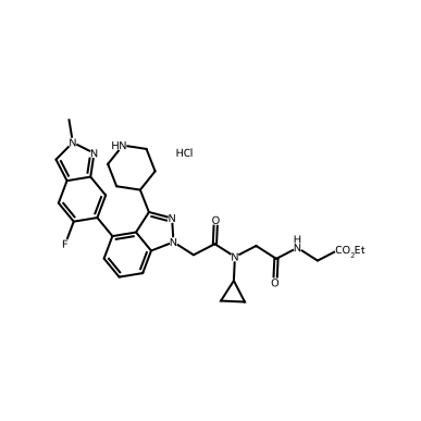 CCOC(=O)CNC(=O)CN(C(=O)Cn1nc(C2CCNCC2)c2c(-c3cc4nn(C)cc4cc3F)cccc21)C1CC1.Cl